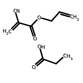 C=CCOC(=O)C(=C)C#N.CCC(=O)O